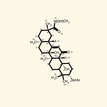 CC(=O)N[C@H]1CC[C@@]2(C)C(CC[C@]3(C)[C@@H]2C(=O)C=C2[C@H]4C[C@@](C)(C(=O)N(C)O)CC[C@]4(C)CC[C@]23C)C1(C)C